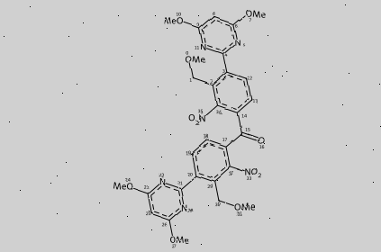 COCc1c(-c2nc(OC)cc(OC)n2)ccc(C(=O)c2ccc(-c3nc(OC)cc(OC)n3)c(COC)c2[N+](=O)[O-])c1[N+](=O)[O-]